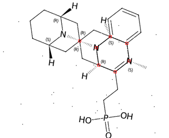 C[C@@H]1C[C@@H]2C[C@H](C1)C[C@@H](N1[C@@H]3CCC[C@H]1C[C@@H](N1CC(CCP(=O)(O)O)=Nc4ccccc41)C3)C2